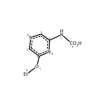 CCOc1cncc(NC(=O)O)n1